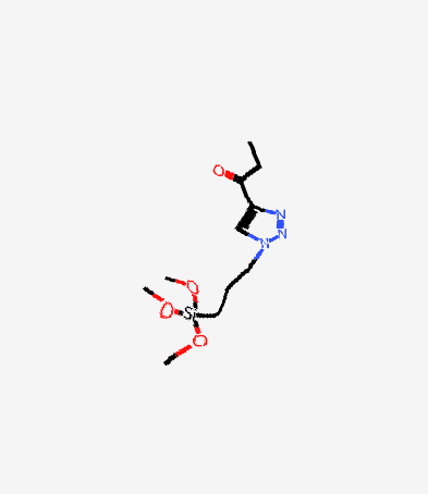 CCC(=O)c1cn(CCC[Si](OC)(OC)OC)nn1